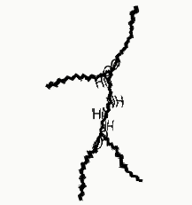 CCCCCCCCCCCCCCCCOCC(CNCCCCNCCNCCNCC(COCCCCCCCCCCCCCCCC)OCCCCCCCCCCCCCCCC)OCCCCCCCCCCCCCCCC